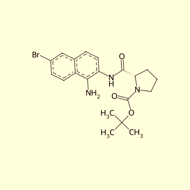 CC(C)(C)OC(=O)N1CCC[C@H]1C(=O)Nc1ccc2cc(Br)ccc2c1N